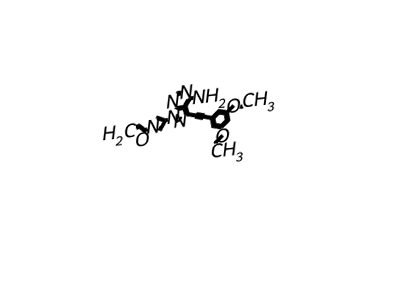 C=CC(=O)N1CC(n2nc(C#Cc3cc(OCC)cc(OCC)c3)c3c(N)ncnc32)C1